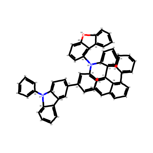 c1ccc(-c2cccc3cccc(-c4ccccc4N(c4cccc(-c5ccc6c(c5)c5ccccc5n6-c5ccccc5)c4)c4cccc5oc6ccccc6c45)c23)cc1